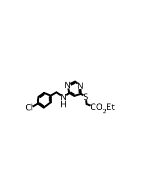 CCOC(=O)CSc1cc(NCc2ccc(Cl)cc2)ncn1